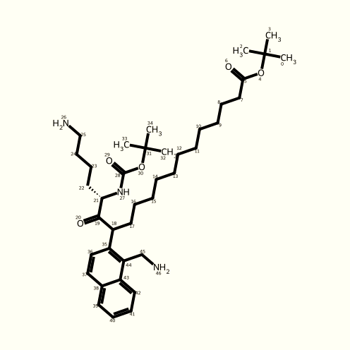 CC(C)(C)OC(=O)CCCCCCCCCCCC(C(=O)[C@H](CCCCN)NC(=O)OC(C)(C)C)c1ccc2ccccc2c1CN